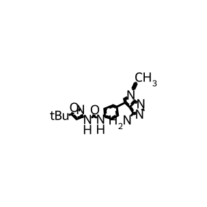 CC#Cn1cc(-c2ccc(NC(=O)Nc3cc(C(C)(C)C)on3)cc2)c2c(N)ncnc21